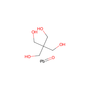 OCC(CO)(CO)CO.[O]=[Pb]